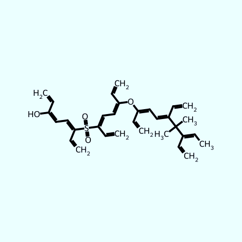 C=C/C(O)=C\C=C(/C=C)S(=O)(=O)/C(C=C)=C/C=C(\C=C)O/C(C=C)=C/C=C(\C=C)C(C)(C)/C(C=C)=C/C